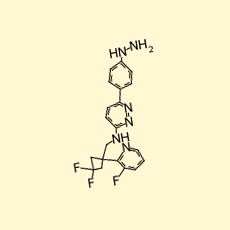 NNc1ccc(-c2ccc(NCC3(c4ncccc4F)CC(F)(F)C3)nn2)cc1